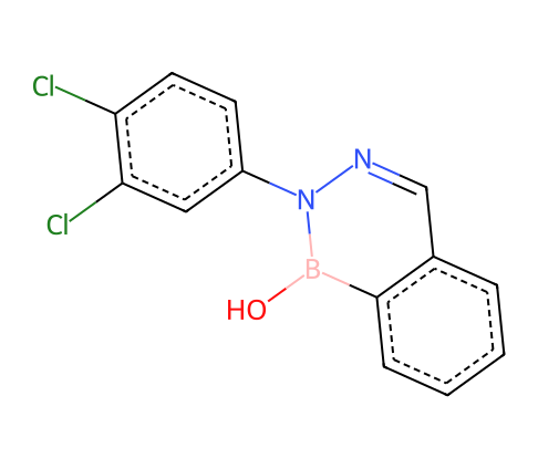 OB1c2ccccc2C=NN1c1ccc(Cl)c(Cl)c1